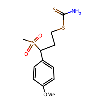 COc1ccc(C(CCSC(N)=S)S(C)(=O)=O)cc1